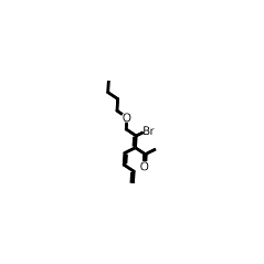 C=C/C=C\C(C(C)=O)=C(\Br)COCCCC